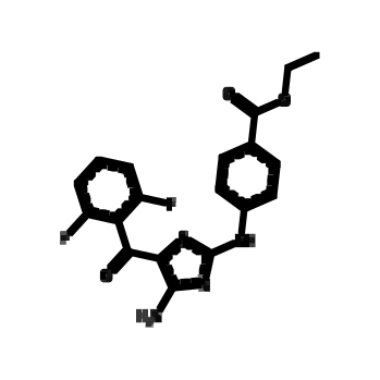 CCOC(=O)c1ccc(Nc2nc(N)c(C(=O)c3c(F)cccc3F)s2)cc1